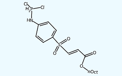 CCCCCCCCOC(=O)C=CS(=O)(=O)c1ccc(N[PH2](Cl)Cl)cc1